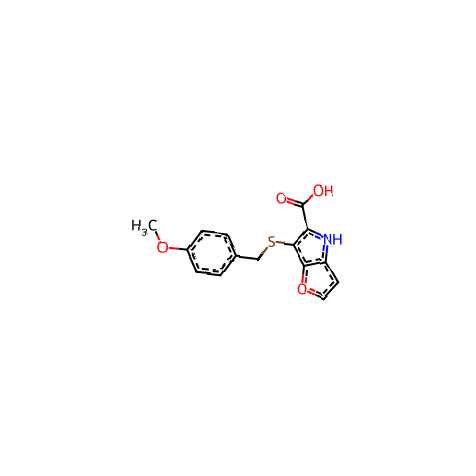 COc1ccc(CSc2c(C(=O)O)[nH]c3ccoc23)cc1